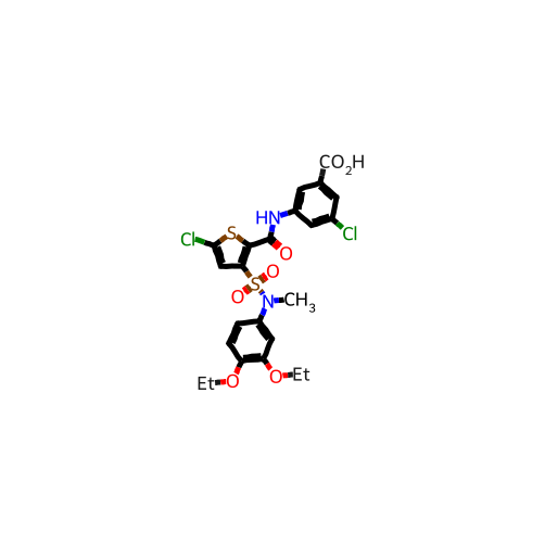 CCOc1ccc(N(C)S(=O)(=O)c2cc(Cl)sc2C(=O)Nc2cc(Cl)cc(C(=O)O)c2)cc1OCC